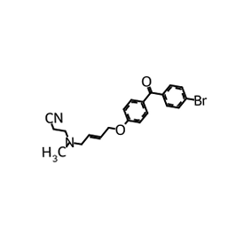 CN(C/C=C/COc1ccc(C(=O)c2ccc(Br)cc2)cc1)CCC#N